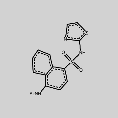 CC(=O)Nc1ccc(S(=O)(=O)Nc2nccs2)c2ccccc12